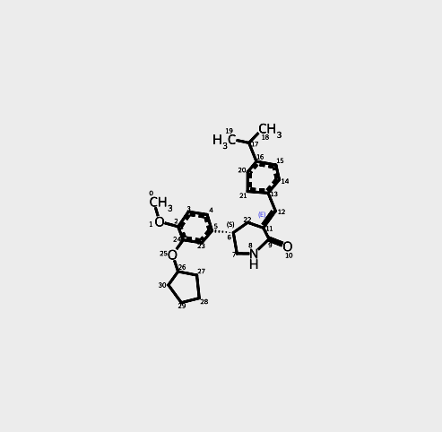 COc1ccc([C@H]2CNC(=O)/C(=C/c3ccc(C(C)C)cc3)C2)cc1OC1CCCC1